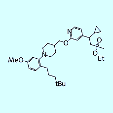 CCOP(C)(=O)CC(c1ccnc(OCC2CCN(c3cc(OC)ccc3CCCC(C)(C)C)CC2)c1)C1CC1